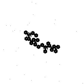 c1ccc(-c2cccc(-c3nc(-c4ccccc4)nc(-c4cc(-n5c6ccccc6c6c5ccc5c7ccccc7n(-c7cccc(-c8cccc(-c9cccc(-c%10cc(-c%11cc(-n%12c%13ccccc%13c%13c%12ccc%12c%14ccccc%14n(-c%14ccccc%14)c%12%13)cc%12ccccc%11%12)nc(-c%11ccccc%11)n%10)c9)c8)c7)c56)cc5ccccc45)n3)c2)cc1